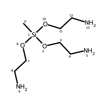 C[Si](OCCN)(OCCN)OCCN